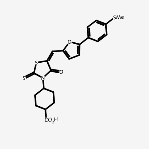 CSc1ccc(-c2ccc(/C=C3/SC(=S)N(C4CCC(C(=O)O)CC4)C3=O)o2)cc1